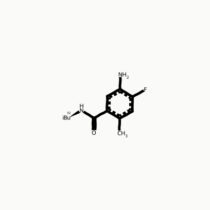 CC[C@H](C)NC(=O)c1cc(N)c(F)cc1C